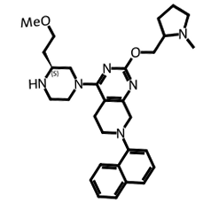 COCC[C@H]1CN(c2nc(OCC3CCCN3C)nc3c2CCN(c2cccc4ccccc24)C3)CCN1